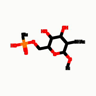 CCOC1OC(COP(=O)(O)C(C)(C)C)C(O)C(O)C1NC(C)=O